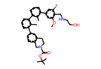 COc1cc(-c2cccc(-c3cccc(-c4ccc5c(c4)CCN(C(=O)OC(C)(C)C)C5)c3C)c2C)cc(F)c1CNCCO